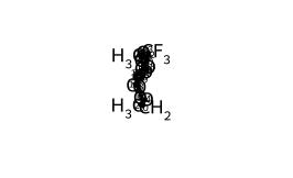 C=C(C)C(=O)OCCOC(=O)c1ccc(OS(=O)(=O)CCC(CC(F)(F)F)S(C)(=O)=O)cc1